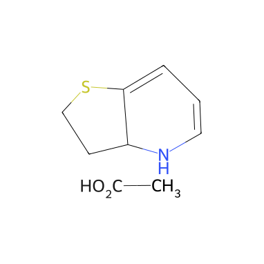 C1=CNC2CCSC2=C1.CC(=O)O